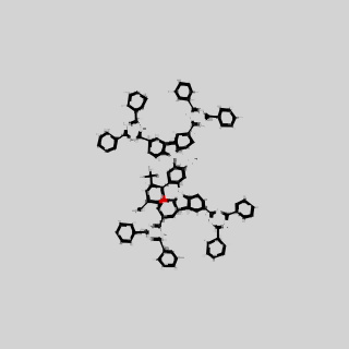 [C-]#[N+]c1cc(-n2c3ccc(-c4nc(-c5ccccc5)nc(-c5ccccc5)n4)cc3c3cc(-c4nc(-c5ccccc5)nc(-c5ccccc5)n4)ccc32)c(-c2ccc(C#N)cc2C(F)(F)F)cc1-n1c2ccc(-c3nc(-c4ccccc4)nc(-c4ccccc4)n3)cc2c2cc(-c3nc(-c4ccccc4)nc(-c4ccccc4)n3)ccc21